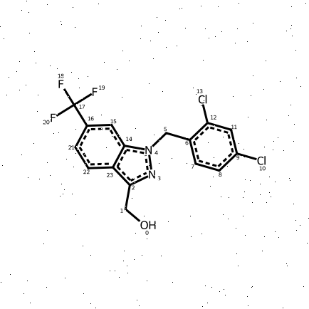 OCc1nn(Cc2ccc(Cl)cc2Cl)c2cc(C(F)(F)F)ccc12